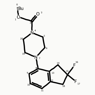 CC(C)(C)OC(=O)N1CCN(c2cccc3c2CC(F)(F)C3)CC1